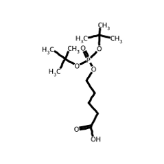 CC(C)(C)OP(=O)(OCCCCC(=O)O)OC(C)(C)C